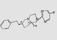 Fc1cnc(N2CCN3C[C@H](CCc4ccccc4)CC[C@H]3C2)nc1